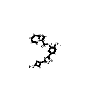 Cc1ccc(-c2noc(C3CC(O)C3)n2)cc1NC(=O)c1cnc2ccccn12